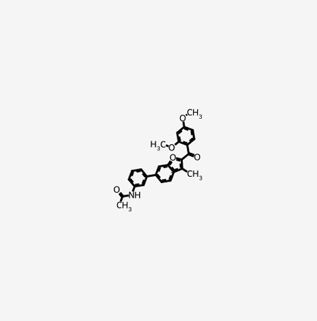 COc1ccc(C(=O)c2oc3cc(-c4cccc(NC(C)=O)c4)ccc3c2C)c(OC)c1